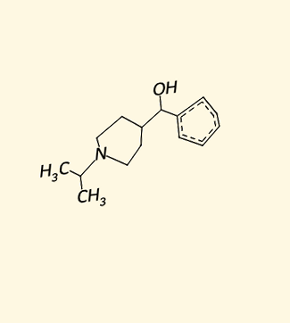 CC(C)N1CCC(C(O)c2ccccc2)CC1